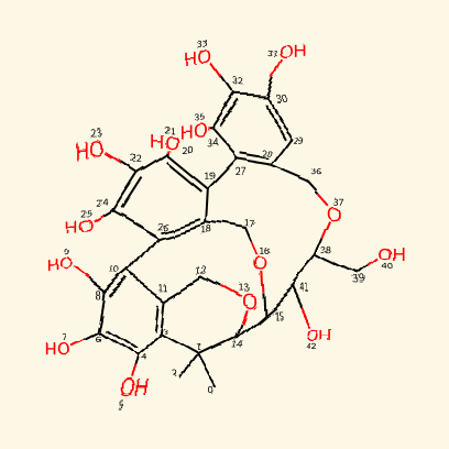 CC1(C)c2c(O)c(O)c(O)c3c2COC1C1OCc2c(c(O)c(O)c(O)c2-3)-c2c(cc(O)c(O)c2O)COC(CO)C1O